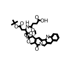 CC[C@@]1(OC(=O)C(CC(=O)OC(C)(C)C)NC(=O)CCC(=O)O)C(=O)OCc2c1cc1n(c2=O)Cc2cc3ccccc3nc2-1